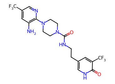 Nc1cc(C(F)(F)F)cnc1N1CCN(C(=O)NCCc2c[nH]c(=O)c(C(F)(F)F)c2)CC1